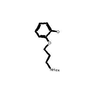 CCCCCCCCCOc1ccccc1[O]